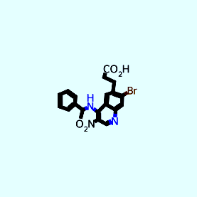 CC(Nc1c([N+](=O)[O-])cnc2cc(Br)c(CCC(=O)O)cc12)c1ccccc1